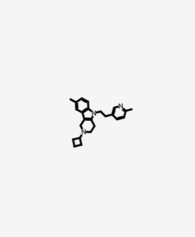 Cc1ccc2c(c1)c1c(n2CCc2ccc(C)nc2)CCN(C2CCC2)C1